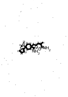 CC(=CCCC1(C(N)=O)CCC(c2cccs2)(N(C)C)CC1)C(N)=O